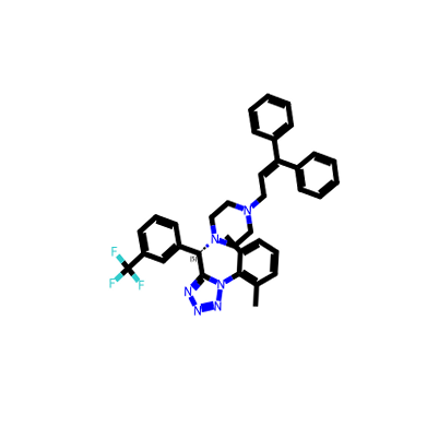 Cc1cccc(C)c1-n1nnnc1[C@H](c1cccc(C(F)(F)F)c1)N1CCN(CC=C(c2ccccc2)c2ccccc2)CC1